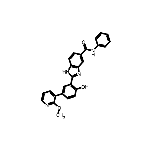 COc1ncccc1-c1ccc(O)c(-c2nc3cc(C(=O)Nc4ccccc4)ccc3[nH]2)c1